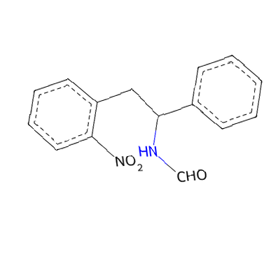 O=CNC(Cc1ccccc1[N+](=O)[O-])c1ccccc1